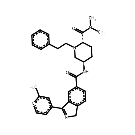 Cc1cc(C2=NCc3ccc(C(=O)N[C@@H]4CC[C@@H](C(=O)N(C)C)N(CCc5ccccc5)C4)cc32)ccn1